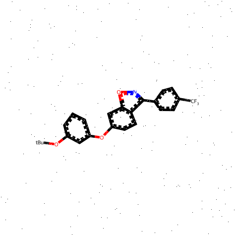 CC(C)(C)Oc1cccc(Oc2ccc3c(-c4ccc(C(F)(F)F)cc4)noc3c2)c1